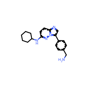 NCc1ccc(-c2cnc3ccc(NC4CCCCC4)nn23)cc1